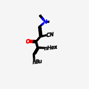 CCCC/C=C(\CCCCCC)C(=O)/C(C#N)=C/N(C)C